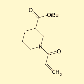 C=CC(=O)N1CCCC(C(=O)OCC(C)C)C1